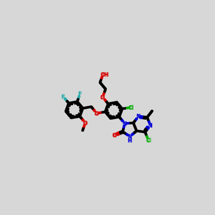 COc1ccc(F)c(F)c1COc1cc(N2C(=O)NC3C(Cl)=NC(C)=NC32)c(Cl)cc1OCCO